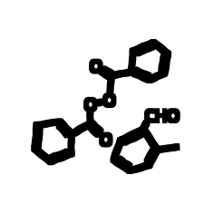 Cc1ccccc1C=O.O=C(OOC(=O)c1ccccc1)c1ccccc1